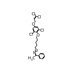 CC(=NOCCCCCOc1c(Cl)cc(OCC=C(Cl)Cl)cc1Cl)c1ccccc1